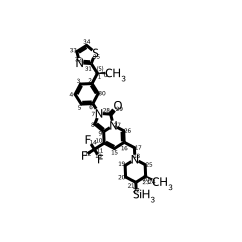 C[C@@H](c1cccc(-n2cc3c(C(F)(F)F)cc(CN4CCC([SiH3])[C@H](C)C4)cn3c2=O)c1)c1nccs1